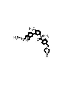 Cc1ccc(N(N)C(=O)c2ccc(CN3CCNCC3)cc2)cc1-c1ccc2c(c1)=CNC(N=NN)C=2